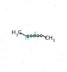 CCCCCCCCc1ccc(-c2ccc(-c3ccc(C4=CCC(C5CCC(CCCCC)CC5)CC4)c(F)c3)cc2)c(F)c1F